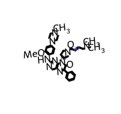 COc1cc(N2CCN(C)CC2)ccc1Nc1ncc2nc(-c3ccccc3)c(=O)n([C@H]3CCN(C(=O)/C=C/CN(C)C)C3)c2n1